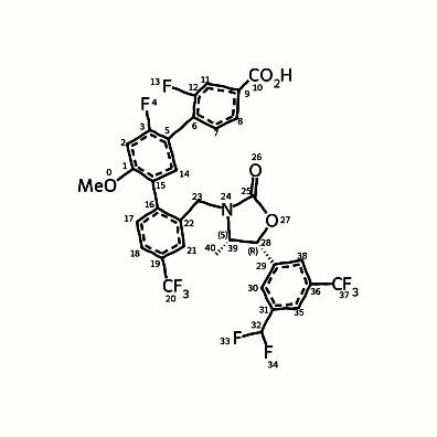 COc1cc(F)c(-c2ccc(C(=O)O)cc2F)cc1-c1ccc(C(F)(F)F)cc1CN1C(=O)O[C@H](c2cc(C(F)F)cc(C(F)(F)F)c2)[C@@H]1C